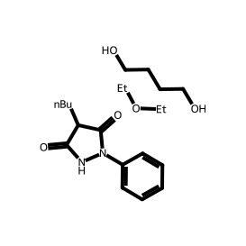 CCCCC1C(=O)NN(c2ccccc2)C1=O.CCOCC.OCCCCO